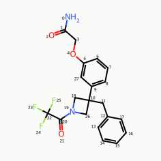 NC(=O)COc1cccc(C2(Cc3ccccc3)CN(C(=O)C(F)(F)F)C2)c1